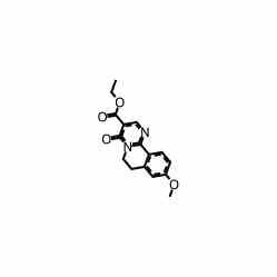 CCOC(=O)c1cnc2n(c1=O)CCc1cc(OC)ccc1-2